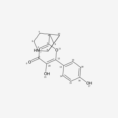 O=c1cc(C23CCNC4C2C43)oc(-c2ccc(O)cc2)c1O